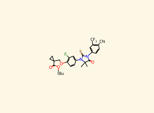 CC(C)(C)OC(=O)C1(COc2ccc(N3C(=S)N(c4ccc(C#N)c(C(F)(F)F)c4)C(=O)C3(C)C)cc2F)CC1